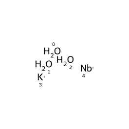 O.O.O.[K].[Nb]